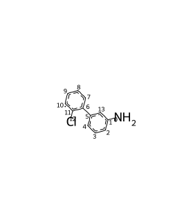 Nc1cccc(-c2ccc[c]c2Cl)c1